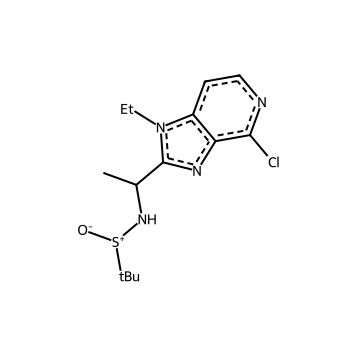 CCn1c(C(C)N[S+]([O-])C(C)(C)C)nc2c(Cl)nccc21